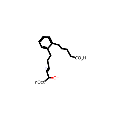 CCCCCCCCC(O)/C=C/CCc1ccccc1CCCCC(=O)O